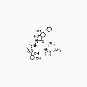 CC1OC(c2cccc(O)c2O)=NC1C(=O)NCCNC(=O)c1ccc(Cc2ccccc2)c(O)c1O.CCC(NCCN)NCCN